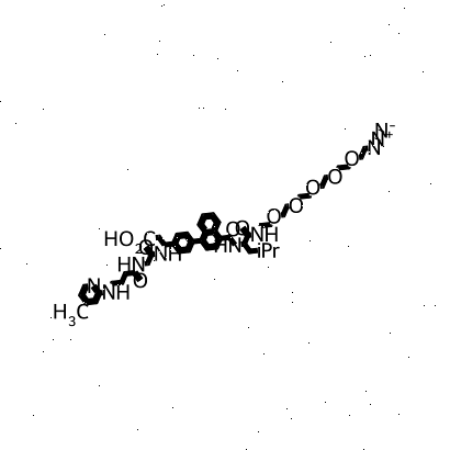 Cc1ccnc(NCCCC(=O)NCC(=O)NC(CC(=O)O)c2ccc(-c3ccc(C(=O)NC(CC(C)C)C(=O)NCCOCCOCCOCCOCCOCCN=[N+]=[N-])c4ccccc34)cc2)c1